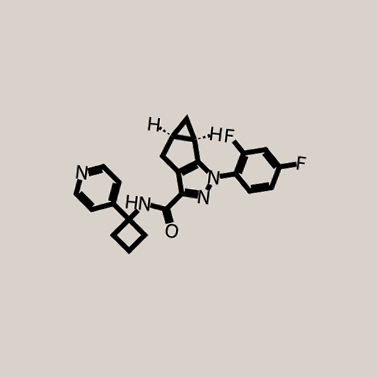 O=C(NC1(c2ccncc2)CCC1)c1nn(-c2ccc(F)cc2F)c2c1C[C@H]1C[C@@H]21